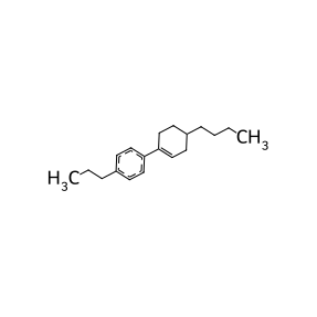 CCCCC1CC=C(c2ccc(CCC)cc2)CC1